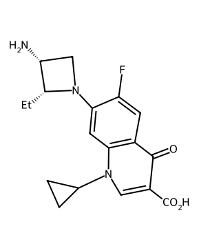 CC[C@@H]1[C@H](N)CN1c1cc2c(cc1F)c(=O)c(C(=O)O)cn2C1CC1